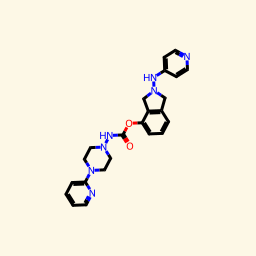 O=C(NN1CCN(c2ccccn2)CC1)Oc1cccc2c1CN(Nc1ccncc1)C2